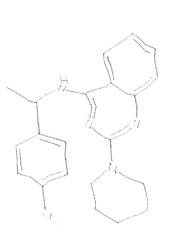 CC(Nc1nc(N2CCCCC2)nc2ccccc12)c1ccc(C(F)(F)F)cc1